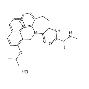 CNC(C)C(=O)NC1CCc2ccccc2N(Cc2c(OC(C)C)ccc3ccccc23)C1=O.Cl